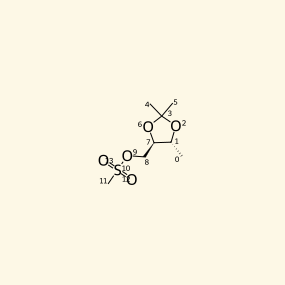 C[C@H]1OC(C)(C)O[C@@H]1COS(C)(=O)=O